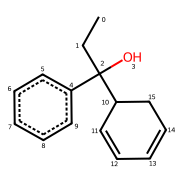 CCC(O)(c1ccccc1)C1C=CC=CC1